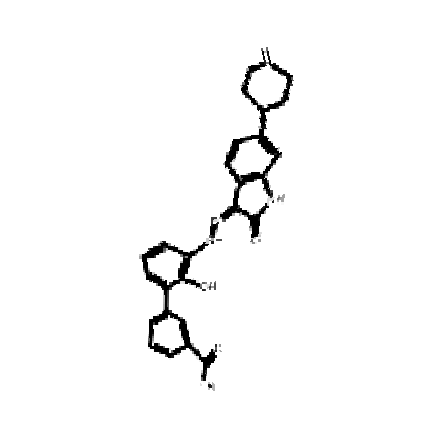 O=C1Nc2cc(C3CCNCC3)ccc2C1=NNc1cccc(-c2cccc(C(=O)O)c2)c1O